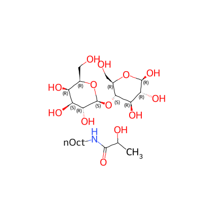 CCCCCCCCNC(=O)C(C)O.OC[C@H]1O[C@@H](O[C@H]2[C@H](O)[C@@H](O)[C@H](O)O[C@@H]2CO)[C@H](O)[C@@H](O)[C@H]1O